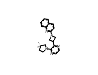 C[C@H]1CCN(c2nccnc2C2CN(c3ccc4ccccc4n3)C2)C1